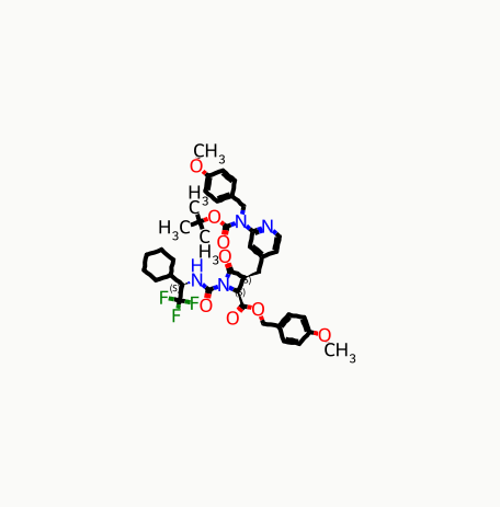 COc1ccc(COC(=O)[C@@H]2[C@H](Cc3ccnc(N(Cc4ccc(OC)cc4)C(=O)OC(C)(C)C)c3)C(=O)N2C(=O)N[C@@H](C2CCCCC2)C(F)(F)F)cc1